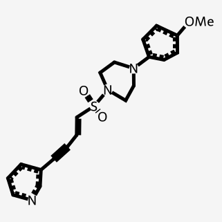 COc1ccc(N2CCN(S(=O)(=O)C=CC#Cc3cccnc3)CC2)cc1